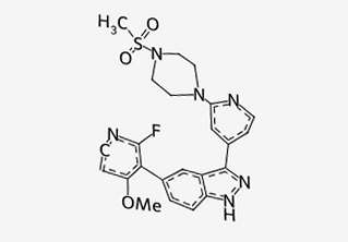 COc1ccnc(F)c1-c1ccc2[nH]nc(-c3ccnc(N4CCN(S(C)(=O)=O)CC4)c3)c2c1